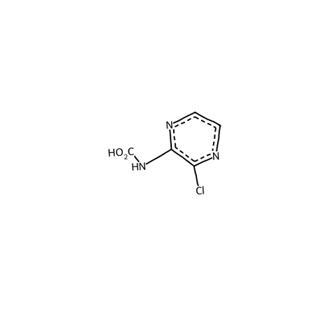 O=C(O)Nc1nccnc1Cl